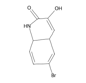 O=C1NC2C=CC(Br)=CC2C=C1O